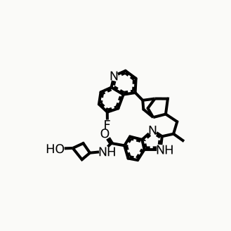 CC(CC1CC2CC1CC2c1ccnc2ccc(F)cc12)c1nc2cc(C(=O)NC3CC(O)C3)ccc2[nH]1